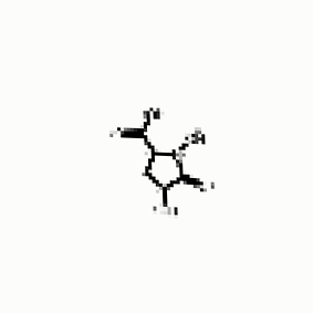 O=C(O)C1CC(O)C(=O)N1O